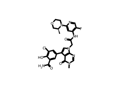 C[C@H]1COCCN1c1cc(NC(=O)Cn2cc(-c3cc(Cl)c(O)c(C(N)=O)c3)c3c(=O)n(C)cnc32)c(F)cn1